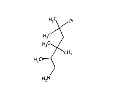 CC(C)C(C)(C)CC(C)(C)[C@H](C)CN